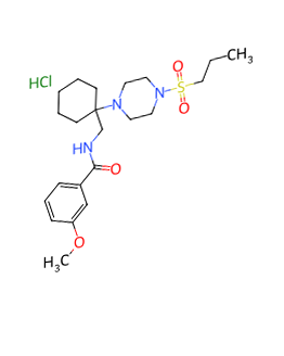 CCCS(=O)(=O)N1CCN(C2(CNC(=O)c3cccc(OC)c3)CCCCC2)CC1.Cl